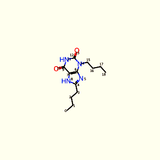 CCCCc1nc2c([nH]1)c(=O)[nH]c(=O)n2CCCC